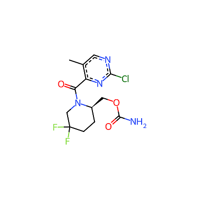 Cc1cnc(Cl)nc1C(=O)N1CC(F)(F)CC[C@@H]1COC(N)=O